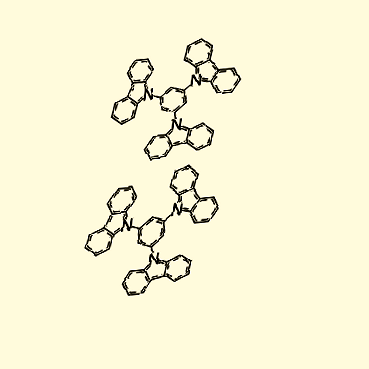 c1ccc2c(c1)c1ccccc1n2-c1cc(-n2c3ccccc3c3ccccc32)cc(-n2c3ccccc3c3ccccc32)c1.c1ccc2c(c1)c1ccccc1n2-c1cc(-n2c3ccccc3c3ccccc32)cc(-n2c3ccccc3c3ccccc32)c1